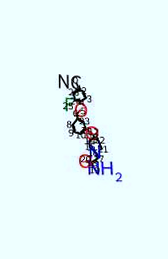 N#Cc1ccc(OCc2cccc(OC3CCN(CC(N)=O)CC3)c2)c(F)c1